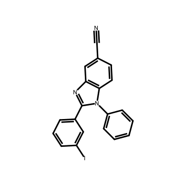 N#Cc1ccc2c(c1)nc(-c1cccc(I)c1)n2-c1ccccc1